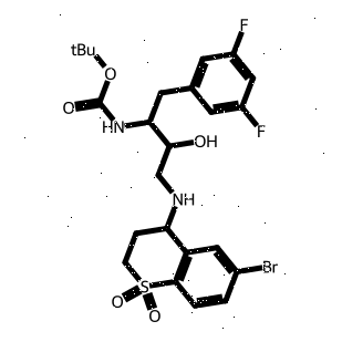 CC(C)(C)OC(=O)NC(Cc1cc(F)cc(F)c1)C(O)CNC1CCS(=O)(=O)c2ccc(Br)cc21